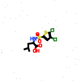 CC(C)CC(NS(=O)(=O)c1cc(Cl)c(Cl)s1)C(=O)O